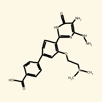 CN(C)CCOc1cc(-c2ccc(C(=O)O)cc2)ccc1-c1nc(NN)c(N)c(=O)[nH]1